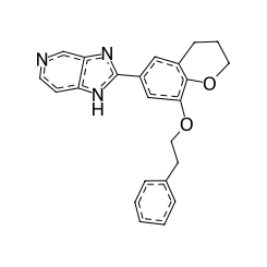 c1ccc(CCOc2cc(-c3nc4cnccc4[nH]3)cc3c2OCCC3)cc1